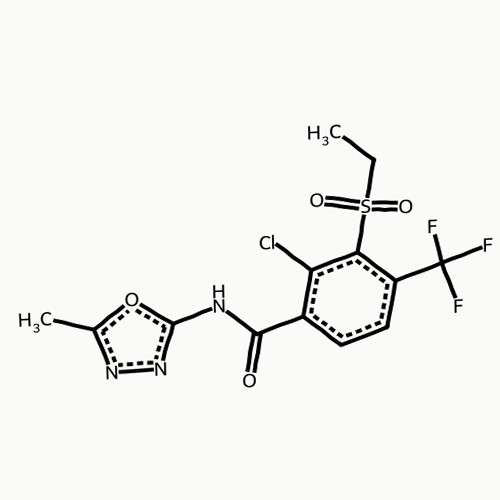 CCS(=O)(=O)c1c(C(F)(F)F)ccc(C(=O)Nc2nnc(C)o2)c1Cl